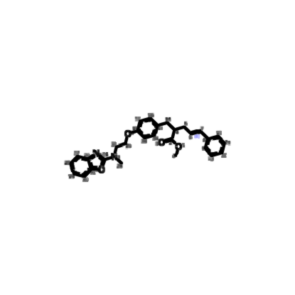 COC(=O)C(C/C=C/c1ccccc1)Cc1ccc(OCCN(C)c2nc3ccccc3o2)cc1